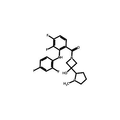 CN1CCCC1C1(O)CN(C(=O)c2ccc(F)c(F)c2Nc2ccc(I)cc2F)C1